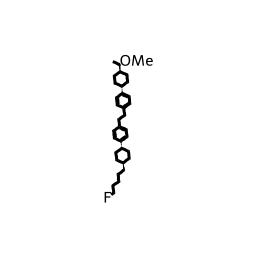 COC(C)[C@H]1CC[C@H](c2ccc(CCc3ccc([C@H]4CC[C@H](CCCCCF)CC4)cc3)cc2)CC1